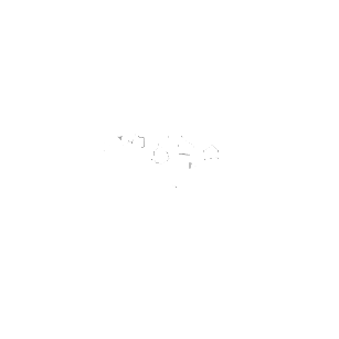 NC1(c2ccnc(-c3cnn(S(=O)(=O)C4CC4)c3)n2)C=C(NC2CCN(CC(F)F)CC2)C(c2ccn(C(F)F)n2)=CN1